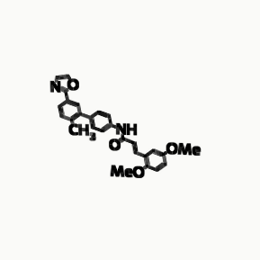 COc1ccc(OC)c(C=CC(=O)Nc2ccc(-c3cc(-c4ncco4)ccc3C)cc2)c1